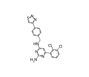 Nc1nc(NCc2ccc(-c3csnn3)cc2)cc(-c2cccc(Cl)c2Cl)n1